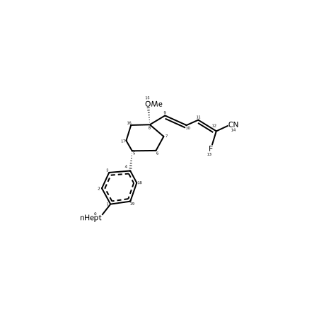 CCCCCCCc1ccc([C@H]2CC[C@@](C=CC=C(F)C#N)(OC)CC2)cc1